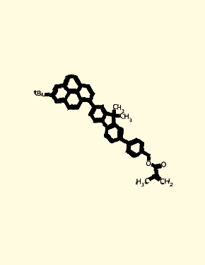 C=C(C)C(=O)OCc1ccc(-c2ccc3c(c2)C(C)(C)c2cc(-c4ccc5ccc6cc(C(C)(C)C)cc7ccc4c5c67)ccc2-3)cc1